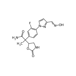 CC(C(N)=O)(c1ccc(-n2ccc(C=NO)n2)c(F)c1)C1CNC(=O)O1